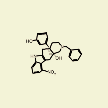 O=[N+]([O-])c1cccc2[nH]c3c(c12)C[C@]1(O)CN(Cc2ccccc2)CC[C@@]1(c1cccc(O)c1)C3